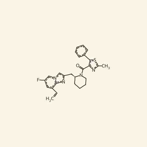 C=Cc1cc(F)cn2cc(C[C@@H]3CCCCN3C(=O)c3nc(C)sc3-c3ccccc3)nc12